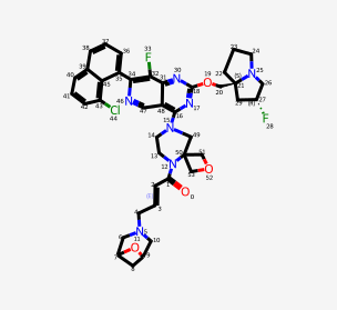 O=C(/C=C/CN1CC2CC(C1)O2)N1CCN(c2nc(OC[C@@]34CCCN3C[C@H](F)C4)nc3c(F)c(-c4cccc5cccc(Cl)c45)ncc23)CC12COC2